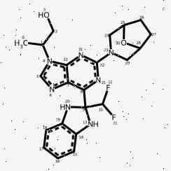 CC(CO)n1cnc2c(C3(C(F)F)Nc4ccccc4N3)nc(N3CC4CCC(C3)O4)nc21